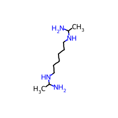 CC(N)NCCCCCCNC(C)N